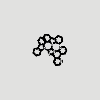 c1ccc2c(c1)c1ccccc1n2-c1nc2c3cccnc3c3cccnc3n2c1-n1c2ccccc2c2ccccc21